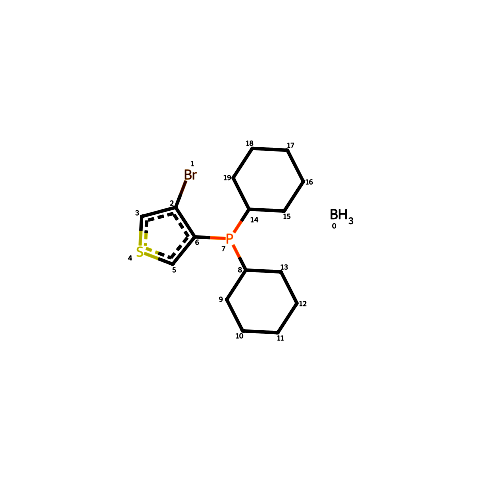 B.Brc1cscc1P(C1CCCCC1)C1CCCCC1